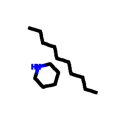 C1CCNCC1.CCCCCCCCCC